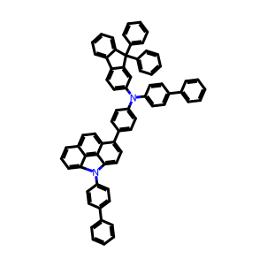 c1ccc(-c2ccc(N(c3ccc(-c4ccc5c6c4ccc4cccc(c46)n5-c4ccc(-c5ccccc5)cc4)cc3)c3ccc4c(c3)C(c3ccccc3)(c3ccccc3)c3ccccc3-4)cc2)cc1